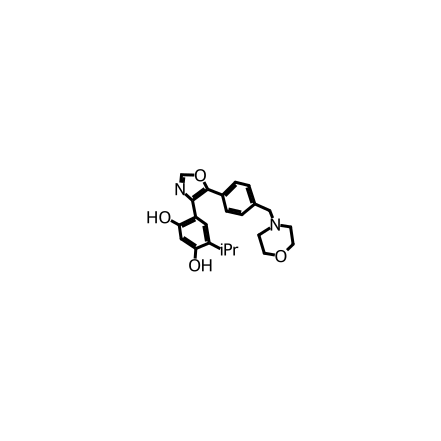 CC(C)c1cc(-c2ncoc2-c2ccc(CN3CCOCC3)cc2)c(O)cc1O